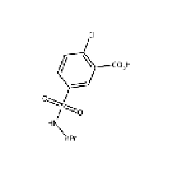 CCCNS(=O)(=O)c1ccc(Cl)c(C(=O)O)c1